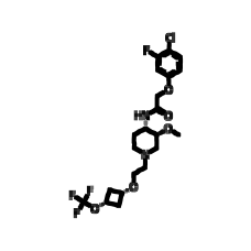 CO[C@H]1CN(CCO[C@H]2C[C@@H](OC(F)(F)F)C2)CC[C@@H]1NC(=O)COc1ccc(Cl)c(F)c1